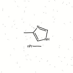 CCCC.Cc1c[nH]cn1